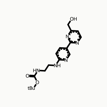 CC(C)(C)OC(=O)NCCNc1ccc(-c2nccc(CO)n2)cn1